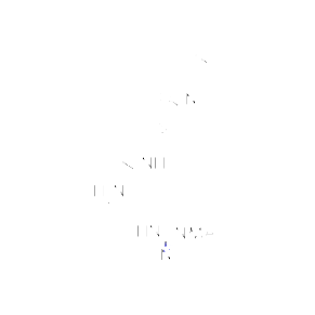 C=C(C)CCNC(=O)CSCCNC(=C)C(N)CCCN/C(=N\C)NC